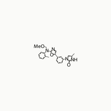 COCN(c1ncc(-c2cccc(-n3cc(C)[nH]c3=O)c2)o1)c1ccccc1C